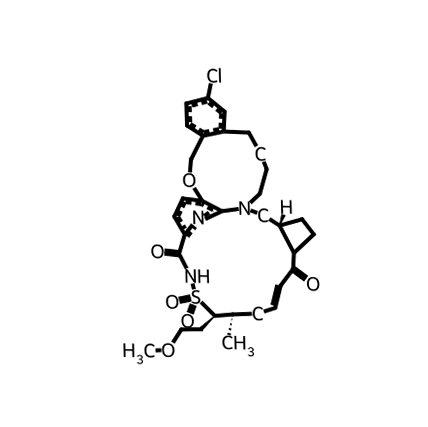 COCC[C@@H]1[C@@H](C)C/C=C/C(=O)C2CC[C@H]2CN2CCCCc3cc(Cl)ccc3COc3ccc(nc32)C(=O)NS1(=O)=O